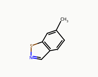 Cc1c[c]c2cnsc2c1